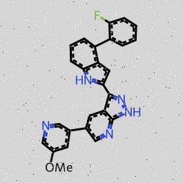 COc1cncc(-c2cnc3[nH]nc(-c4cc5c(-c6ccccc6F)cccc5[nH]4)c3c2)c1